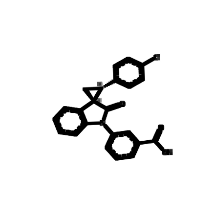 O=C(O)c1cccc(N2C(=O)[C@]3(C[C@@H]3c3ccc(Cl)cc3)c3ccccc32)c1